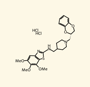 COc1cc2nc(NCC3CCN(C[C@H]4COc5ccccc5O4)CC3)sc2c(OC)c1OC.Cl.Cl